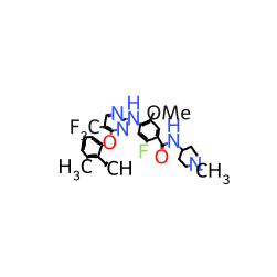 C#Cc1c(C)cccc1Oc1nc(Nc2cc(F)c(C(=O)NC3CCN(C)CC3)cc2OC)ncc1C(F)(F)F